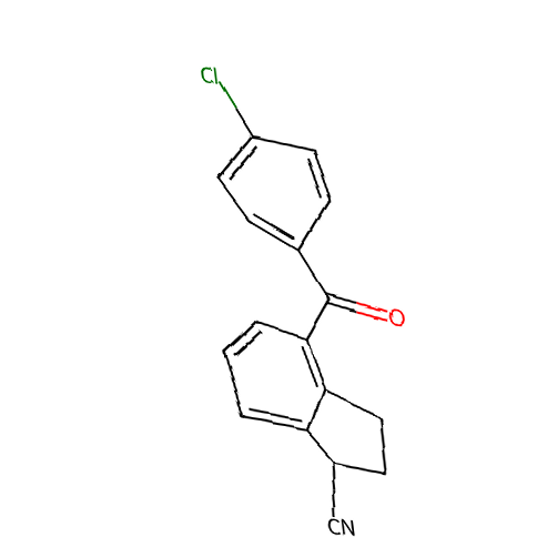 N#CC1CCc2c(C(=O)c3ccc(Cl)cc3)cccc21